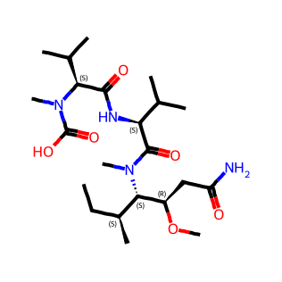 CC[C@H](C)[C@@H]([C@@H](CC(N)=O)OC)N(C)C(=O)[C@@H](NC(=O)[C@H](C(C)C)N(C)C(=O)O)C(C)C